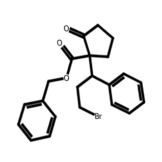 O=C1CCCC1(C(=O)OCc1ccccc1)C(CCBr)c1ccccc1